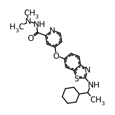 CC(Nc1nc2ccc(Oc3ccnc(C(=O)NN(C)C)c3)cc2s1)C1CCCCC1